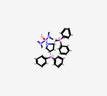 CN(C)P(=O)(N(C)C)N1C[C@@H](P(c2ccccc2)c2ccccc2)C[C@H]1CP(c1ccccc1)c1ccccc1